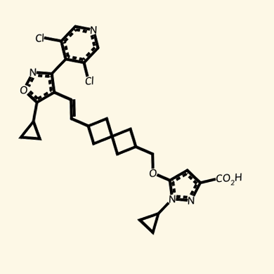 O=C(O)c1cc(OCC2CC3(CC(C=Cc4c(-c5c(Cl)cncc5Cl)noc4C4CC4)C3)C2)n(C2CC2)n1